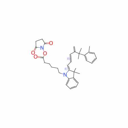 C=C(/C=C/C=C1/N(CCCCCC(=O)ON2C(=O)CCC2=O)c2ccccc2C1(C)C)C(C)(C)c1ccccc1C